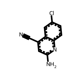 N#Cc1cc(N)nc2ccc(Cl)cc12